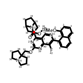 COc1cccc2cccc(-c3ncc4c(N5CC6CCC(C5)N6C(=O)OC(C)(C)C)nc(OCC56CCCN5CCC6)nc4c3F)c12